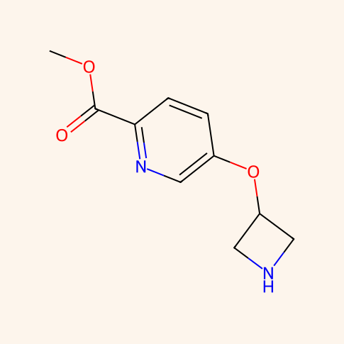 COC(=O)c1ccc(OC2CNC2)cn1